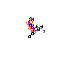 CC(C)CC(NC(=O)Oc1ccc(-c2ccccc2)cc1)C(=O)N1CCC2C1C(=O)CN2S(=O)(=O)Cc1cccnc1